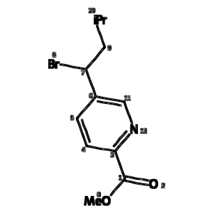 COC(=O)c1ccc(C(Br)CC(C)C)cn1